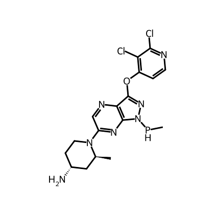 CPn1nc(Oc2ccnc(Cl)c2Cl)c2ncc(N3CC[C@@H](N)C[C@@H]3C)nc21